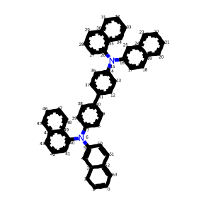 C1=CCC2C=C(N(c3ccc(-c4ccc(N(c5ccc6ccccc6c5)c5cccc6ccccc56)cc4)cc3)c3cccc4ccccc34)C=CC2=C1